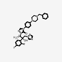 C[C@@H](n1ncn(-c2ccc(N3CCN(Cc4ccccc4)CC3)cc2)c1=O)[C@](O)(Cn1cncn1)c1ccc(F)cc1F